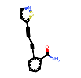 NC(=O)c1ccccc1C#CC#Cc1ccns1